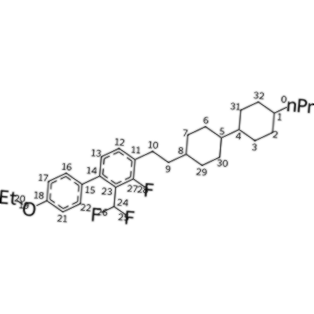 CCCC1CCC(C2CCC(CCc3ccc(-c4ccc(OCC)cc4)c(C(F)F)c3F)CC2)CC1